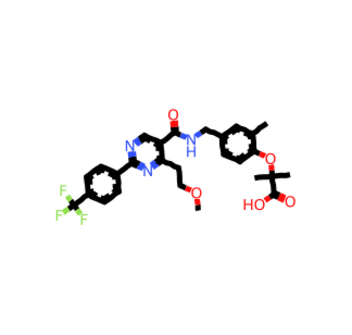 COCCc1nc(-c2ccc(C(F)(F)F)cc2)ncc1C(=O)NCc1ccc(OC(C)(C)C(=O)O)c(C)c1